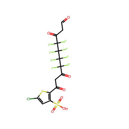 O=CCC(=O)C(F)(F)C(F)(F)C(F)(F)C(F)(F)C(=O)CC(=O)c1sc(Cl)cc1S(=O)(=O)O